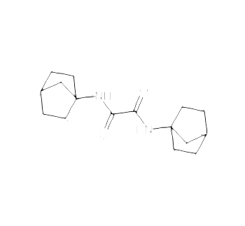 O=C(NC12CCC(CC1)C2)C(=O)NC12CCC(CC1)C2